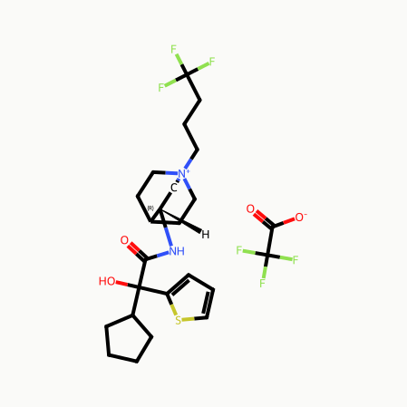 O=C(N[C@H]1C[N+]2(CCCC(F)(F)F)CCC1CC2)C(O)(c1cccs1)C1CCCC1.O=C([O-])C(F)(F)F